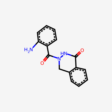 Nc1ccccc1C(=O)N1Cc2ccccc2C(=O)N1